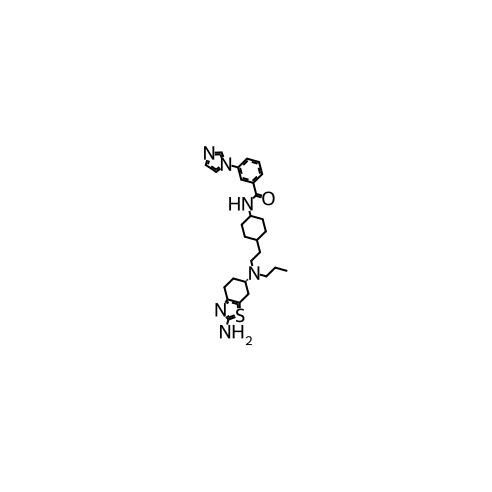 CCCN(CCC1CCC(NC(=O)c2cccc(-n3ccnc3)c2)CC1)[C@H]1CCc2nc(N)sc2C1